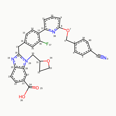 N#Cc1ccc(COc2cccc(-c3ccc(Cc4nc5ccc(C(=O)O)cc5n4CC4CCO4)cc3F)n2)cc1